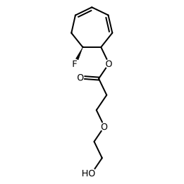 O=C(CCOCCO)OC1C=CC=CC[C@@H]1F